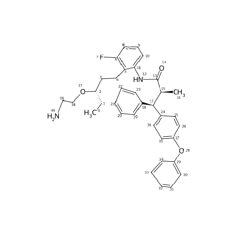 CC[C@@H](CCc1c(F)cccc1NC(=O)[C@@H](C)[C@H](c1ccccc1)c1ccc(Oc2ccccc2)cc1)OCCN